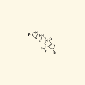 O=C(CN1CC(C(F)F)c2cc(Br)ccc2C1=O)Nc1ncc(F)cn1